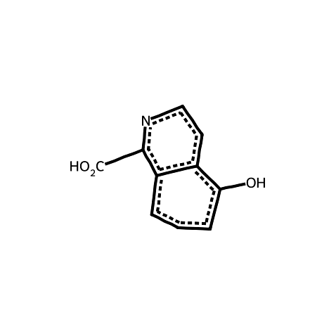 O=C(O)c1nccc2c(O)cccc12